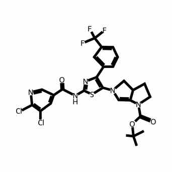 CC(C)(C)OC(=O)N1CCC2CN(c3sc(NC(=O)c4cnc(Cl)c(Cl)c4)nc3-c3cccc(C(F)(F)F)c3)C=C21